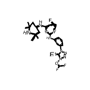 CCC1N(OC(F)F)N=NN1c1cccc(Nc2ncc(F)c(NC3CC(C)(C)NC(C)(C)C3)n2)c1